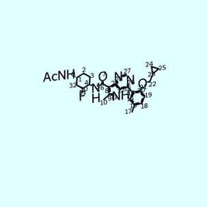 CC(=O)N[C@@H]1CC[C@@H](NC(=O)c2c(C)[nH]c3c(-c4cc(C)ccc4OCC4CC4)ncnc23)[C@H](F)C1